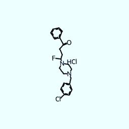 Cl.O=C(CCC(F)N1CCN(Cc2ccc(Cl)cc2)CC1)c1ccccc1